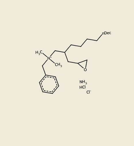 CCCCCCCCCCCCCCC(CC1CO1)C[N+](C)(C)Cc1ccccc1.Cl.N.[Cl-]